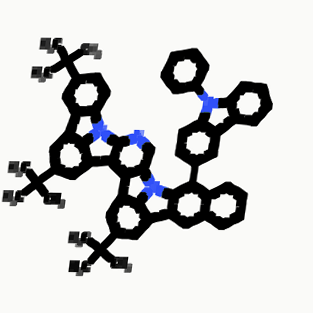 CC(C)(C)c1ccc2c(c1)c1cc(C(C)(C)C)cc3c4c5c6cc(C(C)(C)C)cc7c8cc9ccccc9c(-c9ccc%10c(c9)c9ccccc9n%10-c9ccccc9)c8n(c5cnc4n2c13)c76